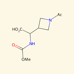 COC(=O)NC(C(=O)O)C1CN(C(C)=O)C1